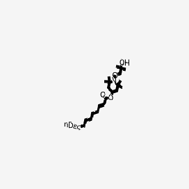 CCCCCCCCCCCCCCCC=CC(=O)OC1CC(C)(C)N(OCC(C)(C)O)C(C)(C)C1